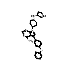 Nc1ncnc2c1c(-c1ccc(Oc3ccccc3)cc1)cn2[C@H]1CC[C@@H](N[C@@H]2CCNC2)CC1